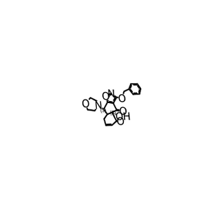 O=C1C=CCC2[C@H](N3CCOCC3)c3onc(OCc4ccccc4)c3C(=O)[C@@]12O